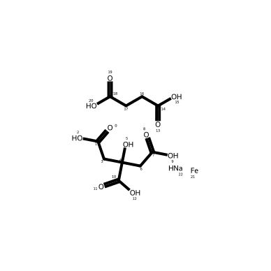 O=C(O)CC(O)(CC(=O)O)C(=O)O.O=C(O)CCC(=O)O.[Fe].[NaH]